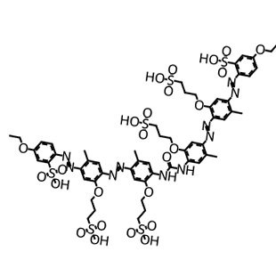 CCOc1ccc(N=Nc2cc(OCCCS(=O)(=O)O)c(N=Nc3cc(OCCCS(=O)(=O)O)c(NC(=O)Nc4cc(C)c(N=Nc5cc(C)c(N=Nc6ccc(OCC)cc6S(=O)(=O)O)cc5OCCCS(=O)(=O)O)cc4OCCCS(=O)(=O)O)cc3C)cc2C)c(S(=O)(=O)O)c1